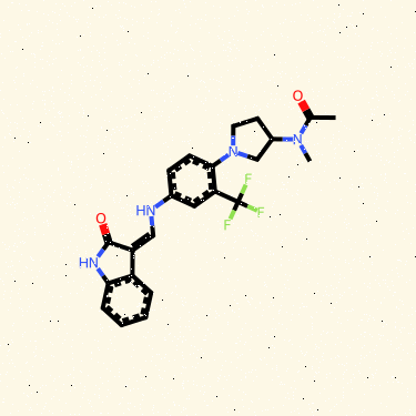 CC(=O)N(C)C1CCN(c2ccc(NC=C3C(=O)Nc4ccccc43)cc2C(F)(F)F)C1